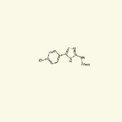 CCCCCNc1ncc(-c2ccc(Cl)cc2)[nH]1